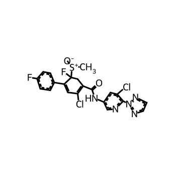 C[S+]([O-])C1(F)CC(C(=O)Nc2cnc(-n3nccn3)c(Cl)c2)=C(Cl)C=C1c1ccc(F)cc1